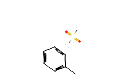 Cc1ccccc1.NS(=O)(=O)C=O